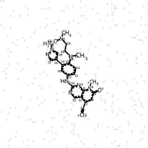 C#Cc1cc(=O)n(C)c2nc(Nc3ccc(N(C)CCN(C)C)c(-c4cnn(C)c4)c3)ncc12